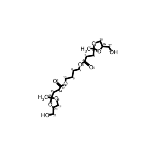 CC1(CCC(=O)OCCCCOC(=O)CCC2(C)OCC(CO)O2)OCC(CO)O1